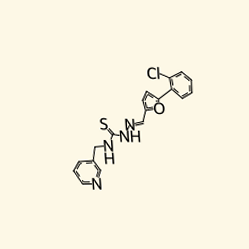 S=C(NCc1cccnc1)NN=Cc1ccc(-c2ccccc2Cl)o1